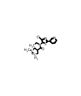 CCC(C[S+](C)[O-])C(=O)N(CC)c1sc(-c2cccnc2)nc1Cl